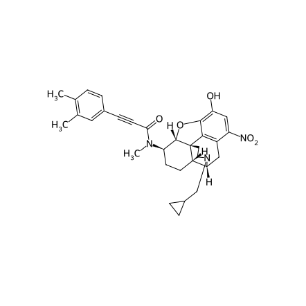 Cc1ccc(C#CC(=O)N(C)[C@@H]2CC[C@H]3[C@H]4Cc5c([N+](=O)[O-])cc(O)c6c5[C@@]3(CCN4CC3CC3)[C@H]2O6)cc1C